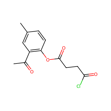 CC(=O)c1cc(C)ccc1OC(=O)CCC(=O)Cl